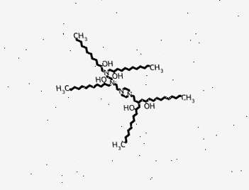 CCCCCCCCCC[C@@H](O)CC(CCN1CCN(CCN(CCN(C[C@H](O)CCCCCCCCCC)C[C@H](O)CCCCCCCCCC)C[C@H](O)CCCCCCCCCC)CC1)C[C@H](O)CCCCCCCCCC